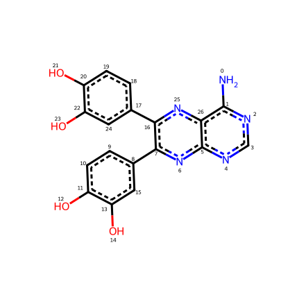 Nc1ncnc2nc(-c3ccc(O)c(O)c3)c(-c3ccc(O)c(O)c3)nc12